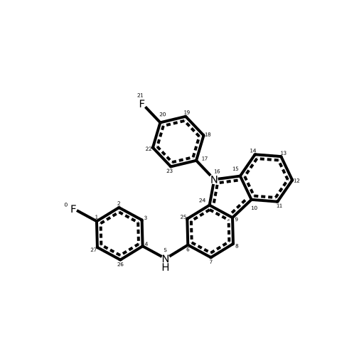 Fc1ccc(Nc2ccc3c4ccccc4n(-c4ccc(F)cc4)c3c2)cc1